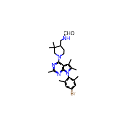 Cc1nc(N2CCC(CNC=O)C(C)(C)C2)c2c(C)c(C)n(-c3c(C)cc(Br)cc3C)c2n1